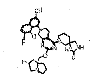 O=C1NCC2(CCCN(c3nc(OC[C@@]45CCCN4C[C@H](F)C5)nc4c3CCN(c3cc(O)cc5ccc(F)c(Cl)c35)C4)C2)N1